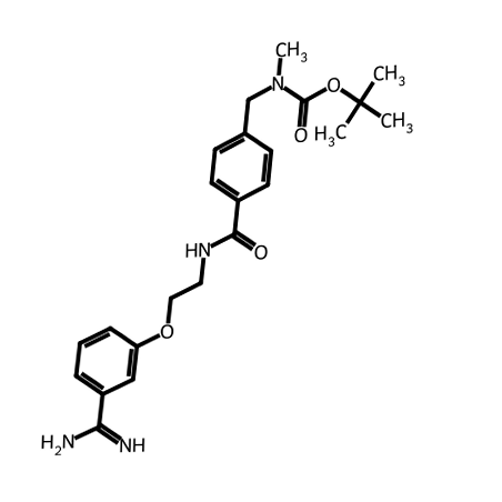 CN(Cc1ccc(C(=O)NCCOc2cccc(C(=N)N)c2)cc1)C(=O)OC(C)(C)C